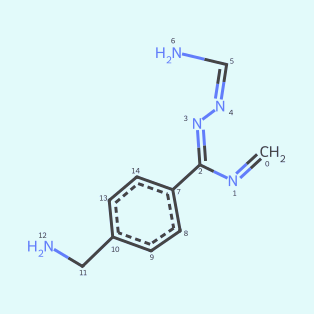 C=N/C(=N\N=C/N)c1ccc(CN)cc1